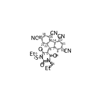 CCSN1C(=O)C(=C2c3cc(C#N)cc(C#N)c3-c3c(C#N)cc(C#N)cc32)C(=O)N(SCC)C1=O